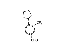 O=Cc1ccc(N2CCCC2)c(C(F)(F)F)c1